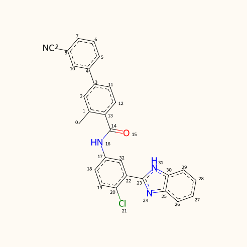 Cc1cc(-c2cccc(C#N)c2)ccc1C(=O)Nc1ccc(Cl)c(-c2nc3ccccc3[nH]2)c1